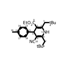 CCOC(=O)C1=C(CC(C)(C)C)NC(CC(C)(C)C)=C(C#N)C1c1ccc(C)cc1